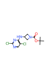 CC(C)(C)OC(=O)N1CC(Nc2nc(Cl)ncc2Cl)C1